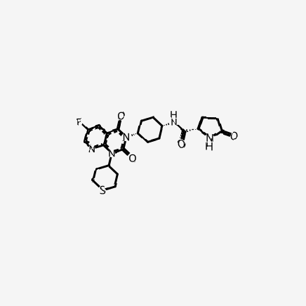 O=C1CC[C@@H](C(=O)N[C@H]2CC[C@@H](n3c(=O)c4cc(F)cnc4n(C4CCSCC4)c3=O)CC2)N1